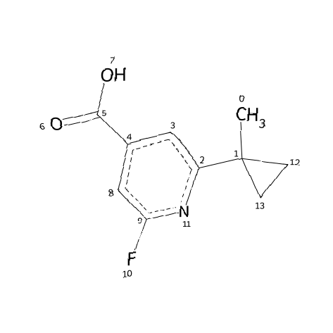 CC1(c2cc(C(=O)O)cc(F)n2)CC1